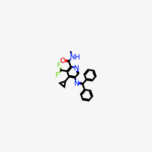 CNC(=O)c1ncc(N=C(c2ccccc2)c2ccccc2)c(C2CC2)c1C(F)F